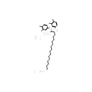 CCCCCCCCCCCCCCCCCCCCCCCCCC(=Nc1ccc(C)c(C)c1)C(CCCC)=Nc1ccc(C)c(C)c1.[Pd]